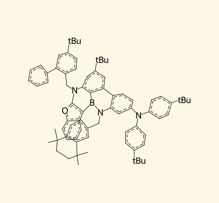 CC(C)(C)c1ccc(N(c2ccc(C(C)(C)C)cc2)c2ccc3c(c2)N(Cc2ccc4c(c2)C(C)(C)CCC4(C)C)B2c4c-3cc(C(C)(C)C)cc4N(Cc3ccc(C(C)(C)C)cc3-c3ccccc3)c3oc4ccccc4c32)cc1